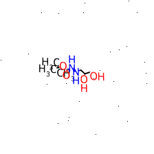 CC(C)(C)OC(=O)NNC[C@@H](O)CO